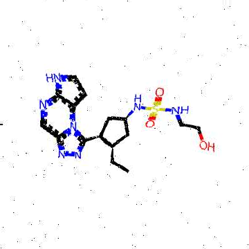 CC[C@@H]1C[C@H](NS(=O)(=O)NCCO)C[C@@H]1c1nnc2cnc3[nH]ccc3n12